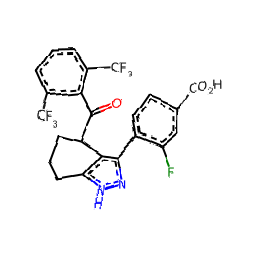 O=C(O)c1ccc(-c2n[nH]c3c2C(C(=O)c2c(C(F)(F)F)cccc2C(F)(F)F)CCC3)c(F)c1